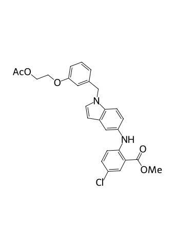 COC(=O)c1cc(Cl)ccc1Nc1ccc2c(ccn2Cc2cccc(OCCOC(C)=O)c2)c1